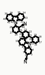 N#Cc1ccc2c(c1)c1ccccc1n2-c1ccccc1-c1ccc(-c2cccc(-n3c4ccccc4c4ccccc43)c2C#N)cc1